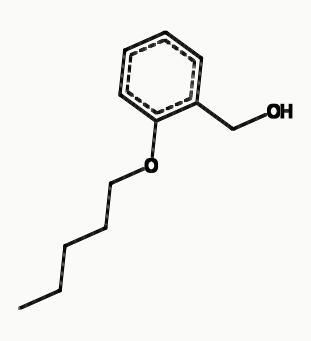 CCCCCOc1ccccc1CO